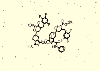 CC(C)(C)OC(=O)C(CC(=O)N1CCn2c(C(F)(F)F)nc(C(=O)O)c2C1)Cc1cc(F)c(F)cc1F.CC(C)(C)OC(=O)NC(CC(=O)N1CCn2c(C(F)(F)F)nc(C(=O)Nc3cccnc3)c2C1)Cc1cc(F)c(F)cc1F